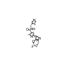 Cc1nc(-n2cnn(CC3CC3(F)F)c2=O)sc1C(=O)NCc1cncs1